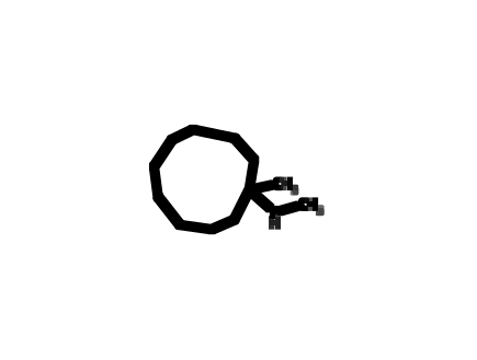 CPC1(C)CCCCCCCCC1